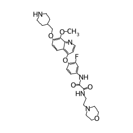 COc1c(OCC2CCNCC2)ccc2c(Oc3ccc(NC(=O)C(=O)NCCN4CCOCC4)cc3F)ccnc12